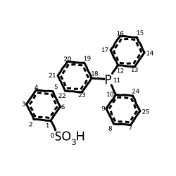 O=S(=O)(O)c1ccccc1.c1ccc(P(c2ccccc2)c2ccccc2)cc1